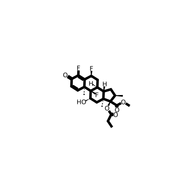 CCC(=O)O[C@]1(C(=O)OC)[C@H](C)C[C@H]2[C@@H]3C[C@H](F)C4=C(F)C(=O)C=C[C@]4(C)[C@@]3(F)[C@@H](O)C[C@@]21C